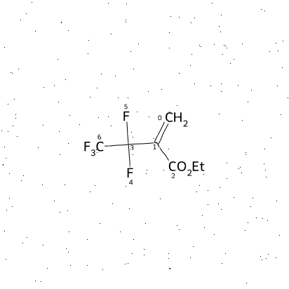 C=C(C(=O)OCC)C(F)(F)C(F)(F)F